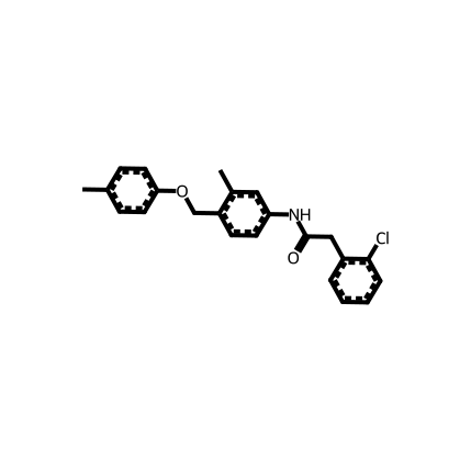 Cc1ccc(OCc2ccc(NC(=O)Cc3ccccc3Cl)cc2C)cc1